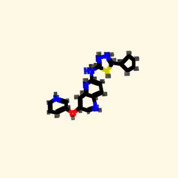 c1cncc(Oc2cnc3ccc(Nc4nnc(C5CCCC5)s4)nc3c2)c1